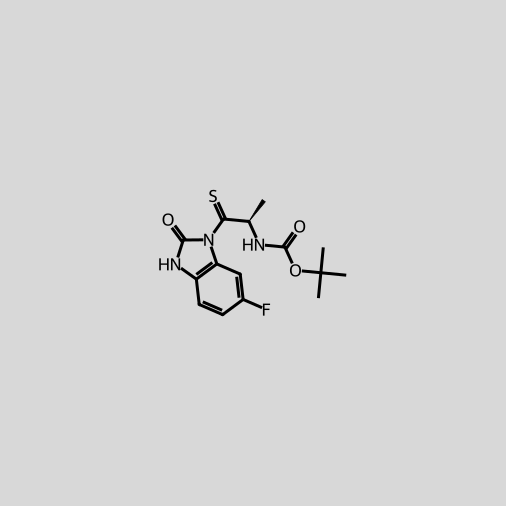 C[C@@H](NC(=O)OC(C)(C)C)C(=S)n1c(=O)[nH]c2ccc(F)cc21